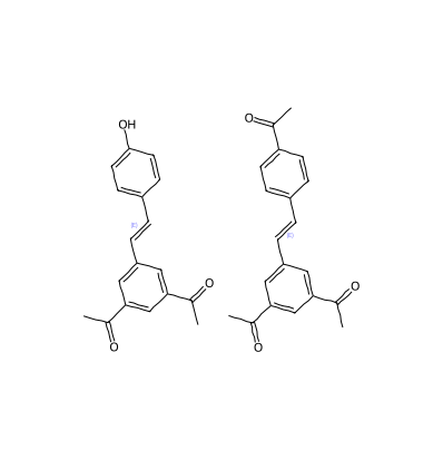 CC(=O)c1cc(/C=C/c2ccc(O)cc2)cc(C(C)=O)c1.CC(=O)c1ccc(/C=C/c2cc(C(C)=O)cc(C(C)=O)c2)cc1